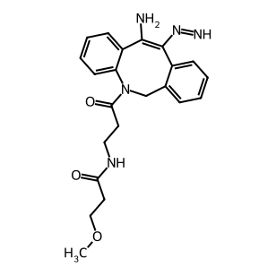 COCCC(=O)NCCC(=O)N1Cc2ccccc2/C(N=N)=C(/N)c2ccccc21